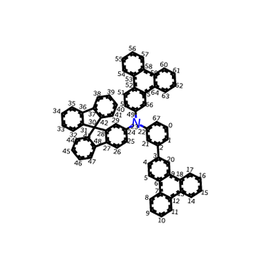 c1cc(-c2ccc3c4ccccc4c4ccccc4c3c2)cc(N(c2ccc3c(c2)C2(c4ccccc4-c4ccccc42)c2ccccc2-3)c2ccc3c4ccccc4c4ccccc4c3c2)c1